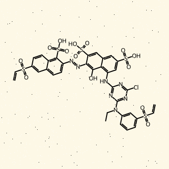 C=CS(=O)(=O)c1cccc(N(CC)c2nc(Cl)nc(Nc3cc(S(=O)(=O)O)cc4cc(S(=O)(=O)O)c(N=Nc5ccc6cc(S(=O)(=O)C=C)ccc6c5S(=O)(=O)O)c(O)c34)n2)c1